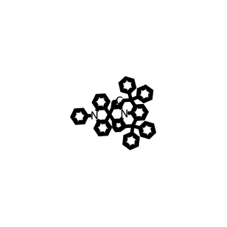 c1ccc(N2c3ccccc3C3(c4ccccc42)c2cccc4c2N2c5c(cccc5C(c5ccccc5)(c5ccccc5)c5cccc3c52)C4(c2ccccc2)c2ccccc2)cc1